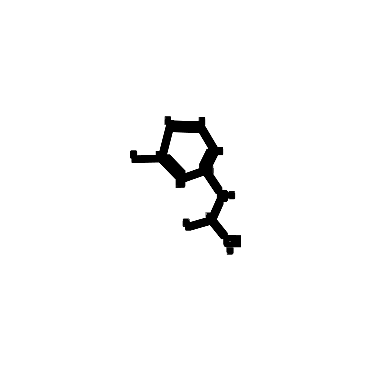 Cc1cccc(OC(C)C#N)c1